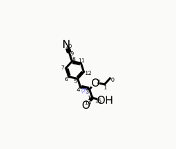 CCO/C(=C\c1ccc(C#N)cc1)C(=O)O